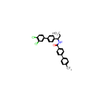 O=C(O)CC(NC(=O)c1ccc(-c2ccc(C(F)(F)F)cc2)cc1)c1ccc(-c2ccc(Cl)c(Cl)c2)cc1